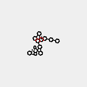 c1ccc(-c2ccc(-c3ccc(N(c4cccc(-c5ccc6c(c5)C5(c7ccccc7-6)c6ccccc6-n6c7ccccc7c7cccc5c76)c4)c4ccccc4-c4ccccc4-c4ccccc4)cc3)cc2)cc1